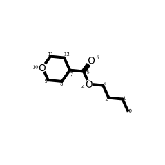 CCCCOC(=O)C1CCOCC1